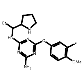 CCC(Nc1nc(N)nc(Oc2ccc(OC)c(F)c2)n1)C1CCCN1